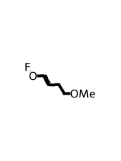 COCCC=COF